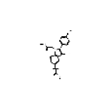 CSc1c(-c2ccc(OC(F)(F)F)cc2)n(CC(=O)NC(C)(C)C)c2ccc(C(C)(C)C(=O)NC(C)(C)C)cc12